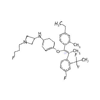 CCc1ccc(/C(OC2=CC=C(NC3CN(CCCF)C3)CC2)=C(\C)c2ccc(F)cc2C(C)(F)F)c(C)c1